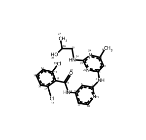 Cc1cc(Nc2cc(NC(=O)c3c(Cl)cccc3Cl)ccn2)nc(NCC(C)O)n1